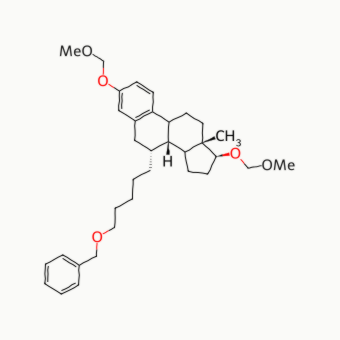 COCOc1ccc2c(c1)C[C@@H](CCCCCOCc1ccccc1)[C@@H]1C2CC[C@@]2(C)C1CC[C@@H]2OCOC